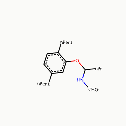 CCCCCc1ccc(CCCCC)c(OC(CCC)N[C]=O)c1